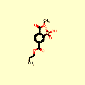 CCCOC(=O)c1ccc(C(=O)OC)c(S(=O)(=O)O)c1